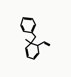 C=CC1C=CC=CC1(C)Cc1ccccc1